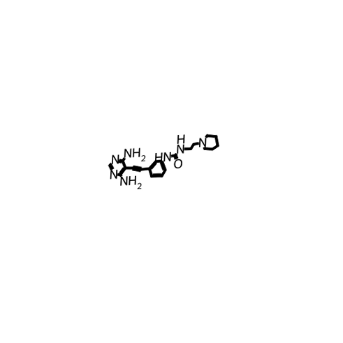 Nc1ncnc(N)c1C#Cc1cccc(NC(=O)NCCN2CCCCC2)c1